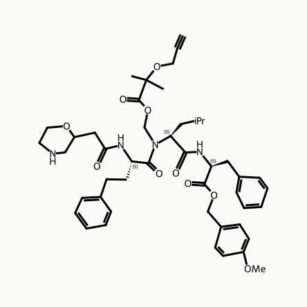 C#CCOC(C)(C)C(=O)OCN(C(=O)[C@H](CCc1ccccc1)NC(=O)CC1CNCCO1)[C@@H](CC(C)C)C(=O)N[C@@H](Cc1ccccc1)C(=O)OCc1ccc(OC)cc1